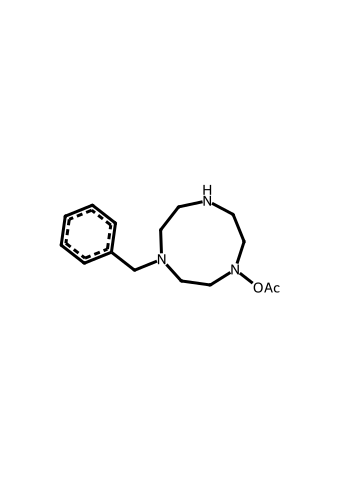 CC(=O)ON1CCNCCN(Cc2ccccc2)CC1